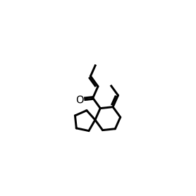 C/C=C1/CCCC2(CCCC2)C1C(=O)/C=C/C